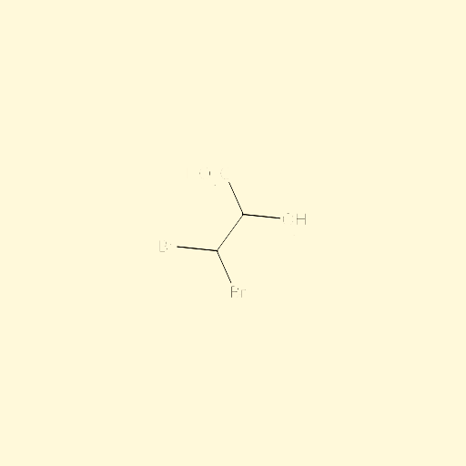 O=C(O)C(O)C(Br)Br